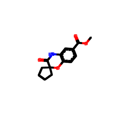 COC(=O)c1ccc2c(c1)NC(=O)C1(CCCC1)O2